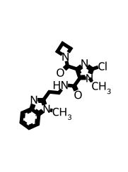 Cn1c(Cl)nc(C(=O)N2CCC2)c1C(=O)NCCc1nc2ccccc2n1C